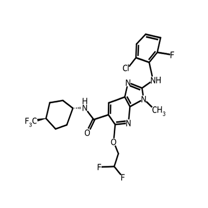 Cn1c(Nc2c(F)cccc2Cl)nc2cc(C(=O)N[C@H]3CC[C@H](C(F)(F)F)CC3)c(OCC(F)F)nc21